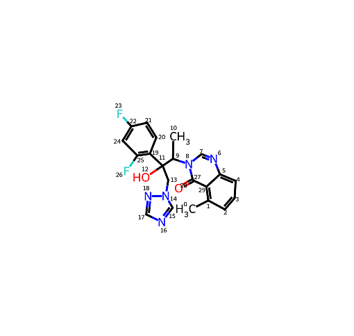 Cc1cccc2ncn(C(C)C(O)(Cn3cncn3)c3ccc(F)cc3F)c(=O)c12